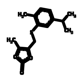 Cc1ccc(C(C)C)cc1SCc1oc(=O)oc1C